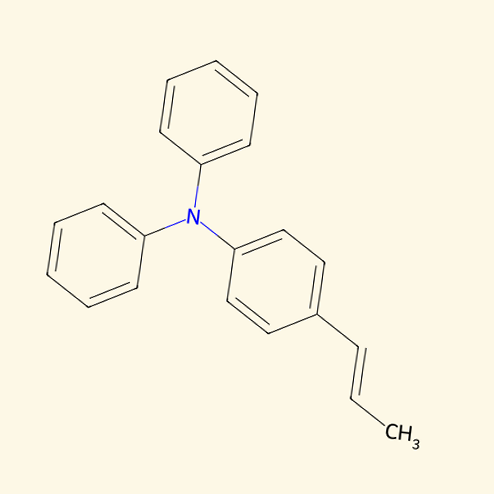 CC=Cc1ccc(N(c2ccccc2)c2ccccc2)cc1